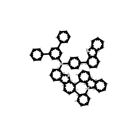 c1ccc(-c2cc(-c3ccccc3)cc(N(c3ccc(-c4cccc5c4oc4ccccc45)cc3)c3cccc4c3oc3c5c(ccc34)-c3ccccc3-n3c4ccccc4c4cccc-5c43)c2)cc1